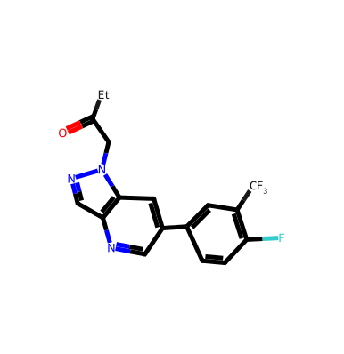 CCC(=O)Cn1ncc2ncc(-c3ccc(F)c(C(F)(F)F)c3)cc21